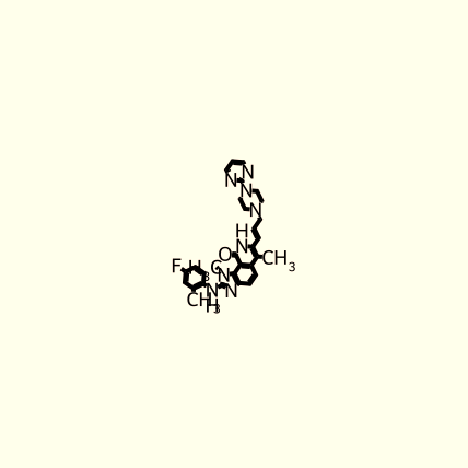 Cc1cc(F)ccc1Nc1nc2ccc3c(C)c(C=CCN4CCN(c5ncccn5)CC4)[nH]c(=O)c3c2n1C